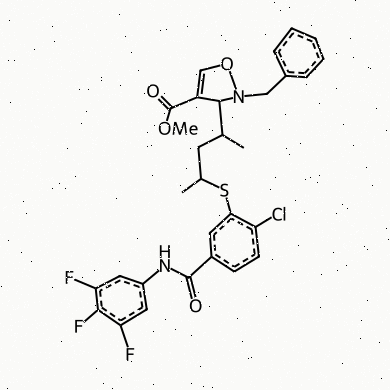 COC(=O)C1=CON(Cc2ccccc2)C1C(C)CC(C)Sc1cc(C(=O)Nc2cc(F)c(F)c(F)c2)ccc1Cl